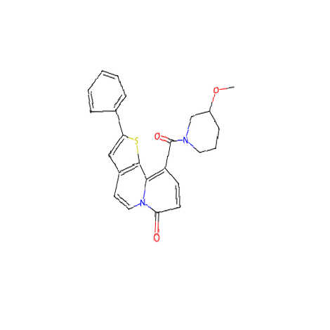 COC1CCCN(C(=O)c2ccc(=O)n3ccc4cc(-c5ccccc5)sc4c23)C1